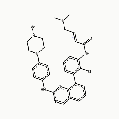 CC(=O)N1CCN(c2ccc(Nc3ncc4cccc(-c5cccc(NC(=O)/C=C/CN(C)C)c5Cl)c4n3)cc2)CC1